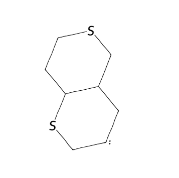 [C]1CSC2CCSCC2C1